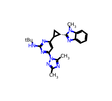 Cc1nc(C)n(-c2cc(C3C[C@@H]3c3nc4ccccc4n3C)nc(NC(C)(C)C)n2)n1